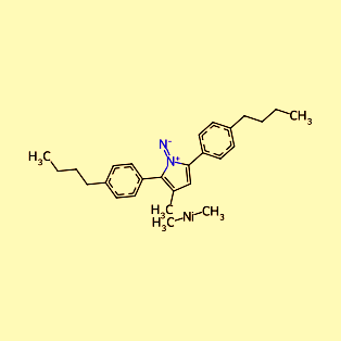 CCCCc1ccc(C2=CC(C)=C(c3ccc(CCCC)cc3)[N+]2=[N-])cc1.[CH3][Ni][CH3]